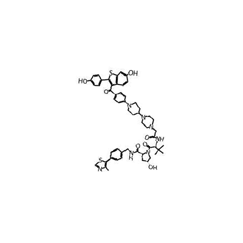 Cc1ncsc1-c1ccc(CNC(=O)[C@@H]2C[C@@H](O)CN2C(=O)[C@@H](NC(=O)CN2CCN(C3CCN(c4ccc(C(=O)c5c(-c6ccc(O)cc6)sc6cc(O)ccc56)cc4)CC3)CC2)C(C)(C)C)cc1